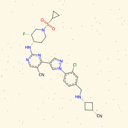 N#Cc1cnc(N[C@H]2CCN(S(=O)(=O)C3CC3)C[C@H]2F)nc1-c1cnn(-c2ccc(CN[C@H]3C[C@@H](C#N)C3)cc2Cl)c1